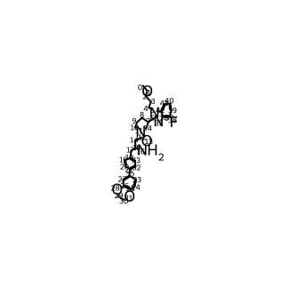 COCCCn1c(C2CCCN(C(=O)CC(N)Cc3ccc(-c4ccc5c(c4)OCCO5)cc3)C2)nc2c(F)cccc21